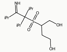 CC(C)C(=N)C(C(C)C)(C(C)C)S(=O)(=O)C(CO)CCO